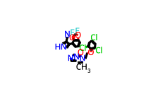 CCCN(CCOc1c(Cl)cc(Cl)cc1Cl)C(=O)n1ccnc1.N#Cc1c[nH]cc1-c1cccc2c1OC(F)(F)O2